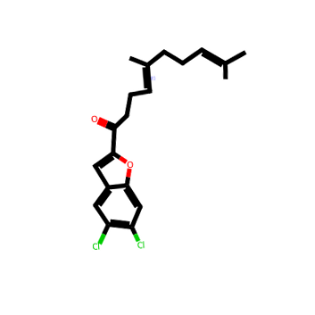 CC(C)=CCC/C(C)=C/CCC(=O)c1cc2cc(Cl)c(Cl)cc2o1